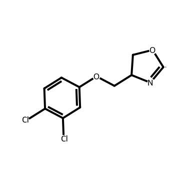 Clc1ccc(OCC2CO[C]=N2)cc1Cl